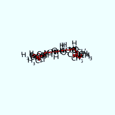 Cc1cc(S(=O)(=O)N[C@H]2CCN(CCOCCNC(=O)NCCCCNC(=O)NCCOCCN3CC[C@H](NS(=O)(=O)c4ccc(O[C@H]5c6cc(Cl)cc(C)c6C[C@@H]5N5CCC[C@@H](N(C)C)C5)c(C)c4)C3)C2)ccc1O[C@H]1c2cc(Cl)cc(C)c2C[C@@H]1N1CCC[C@@H](N(C)C)C1